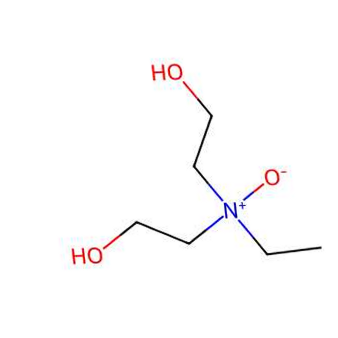 CC[N+]([O-])(CCO)CCO